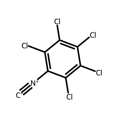 [C-]#[N+]c1c(Cl)c(Cl)c(Cl)c(Cl)c1Cl